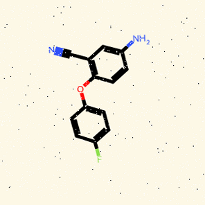 N#Cc1cc(N)ccc1Oc1ccc(F)cc1